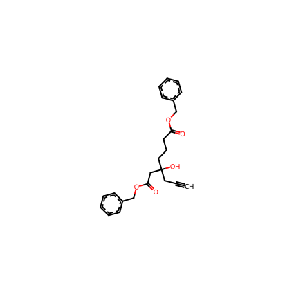 C#CCC(O)(CCCC(=O)OCc1ccccc1)CC(=O)OCc1ccccc1